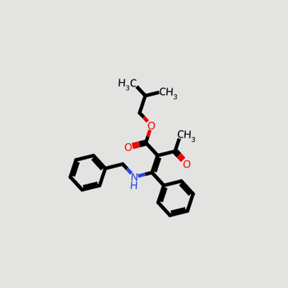 CC(=O)C(C(=O)OCC(C)C)=C(NCc1ccccc1)c1ccccc1